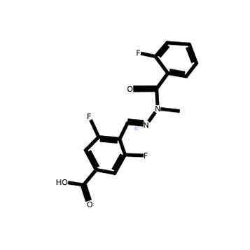 CN(/N=C/c1c(F)cc(C(=O)O)cc1F)C(=O)c1ccccc1F